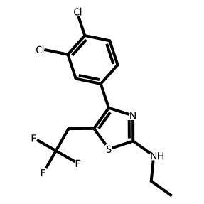 CCNc1nc(-c2ccc(Cl)c(Cl)c2)c(CC(F)(F)F)s1